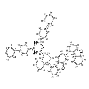 c1ccc(-c2ccc(-c3nc(C4=c5ccccc5=C(c5cccc6oc7cc(-c8cccc9oc%10ccccc%10c89)ccc7c56)CC4)nc(-c4ccc(-c5ccccc5)cc4)n3)cc2)cc1